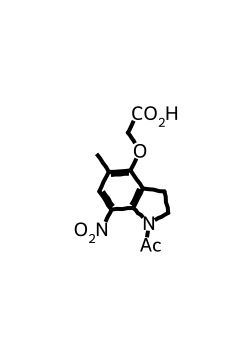 CC(=O)N1CCc2c(OCC(=O)O)c(C)cc([N+](=O)[O-])c21